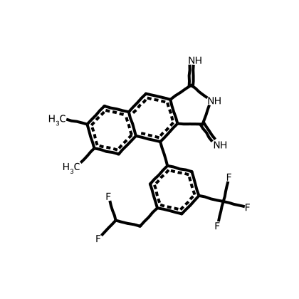 Cc1cc2cc3c(c(-c4cc(CC(F)F)cc(C(F)(F)F)c4)c2cc1C)C(=N)NC3=N